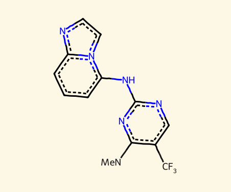 CNc1nc(Nc2cccc3nccn23)ncc1C(F)(F)F